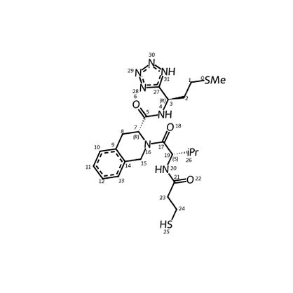 CSCC[C@@H](NC(=O)[C@H]1Cc2ccccc2CN1C(=O)[C@@H](NC(=O)CCS)C(C)C)c1nnn[nH]1